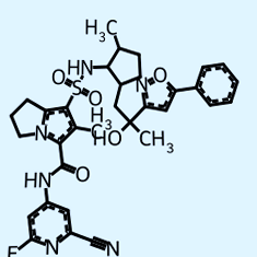 Cc1c(S(=O)(=O)NC2C(C)CCC2CC(C)(O)c2cc(-c3ccccc3)on2)c2n(c1C(=O)Nc1cc(F)nc(C#N)c1)CCC2